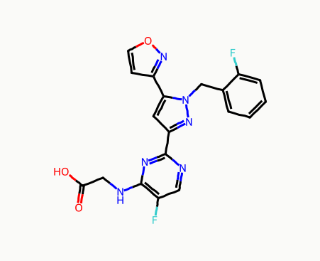 O=C(O)CNc1nc(-c2cc(-c3ccon3)n(Cc3ccccc3F)n2)ncc1F